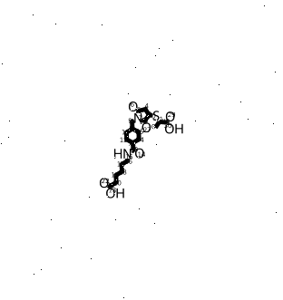 CC(SC1CC(=O)N(CC2CCC(C(=O)NCCCCCC(=O)O)CC2)C1=O)C(=O)O